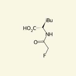 CC[C@H](C)[C@H](NC(=O)CF)C(=O)O